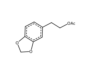 CC(=O)OCCc1ccc2c(c1)OCO2